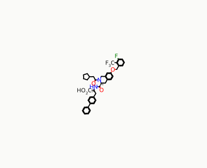 O=C(O)[C@H](Cc1ccc(-c2ccccc2)cc1)NC(=O)[C@@H]1Cc2ccc(OCc3cccc(F)c3C(F)(F)F)cc2CN1C(=O)CC1CCCC1